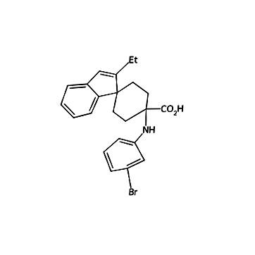 CCC1=Cc2ccccc2C12CCC(Nc1cccc(Br)c1)(C(=O)O)CC2